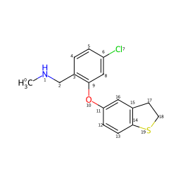 CNCc1ccc(Cl)cc1Oc1ccc2c(c1)CCS2